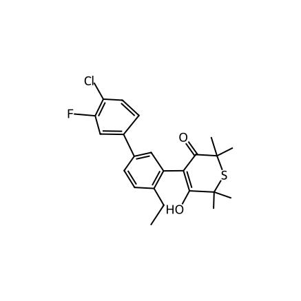 CCc1ccc(-c2ccc(Cl)c(F)c2)cc1C1=C(O)C(C)(C)SC(C)(C)C1=O